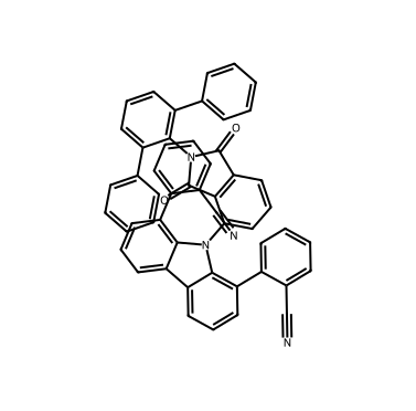 N#Cc1ccccc1-c1cccc2c3cccc(-c4ccccc4C#N)c3n(-c3cccc4c3C(=O)N(c3c(-c5ccccc5)cccc3-c3ccccc3)C4=O)c12